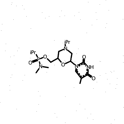 Cc1cn(C2CN(C(C)C)CC(COP(=O)(C(C)C)N(C)C)O2)c(=O)[nH]c1=O